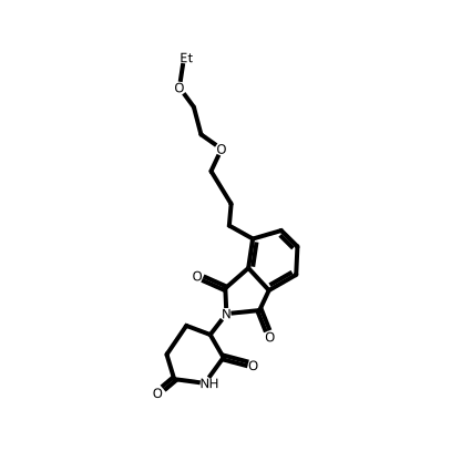 CCOCCOCCCc1cccc2c1C(=O)N(C1CCC(=O)NC1=O)C2=O